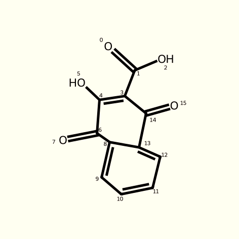 O=C(O)C1=C(O)C(=O)c2ccccc2C1=O